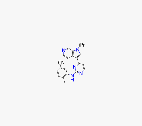 Cc1ccc(C#N)cc1Nc1nccc(-c2cn(C(C)C)c3cnccc23)n1